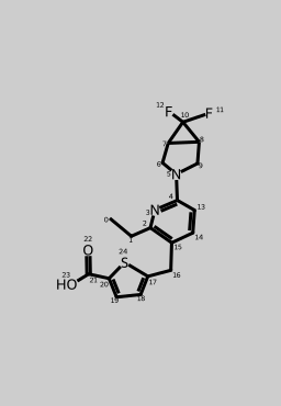 CCc1nc(N2CC3C(C2)C3(F)F)ccc1Cc1ccc(C(=O)O)s1